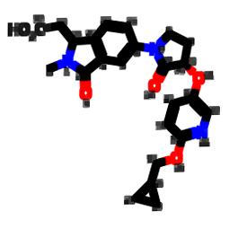 CN1C(=O)c2cc(N3CC[C@@H](Oc4ccc(OCC5CC5)nc4)C3=O)ccc2C1CC(=O)O